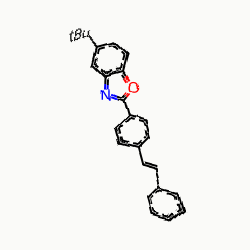 CC(C)(C)c1ccc2oc(-c3ccc(/C=C/c4ccccc4)cc3)nc2c1